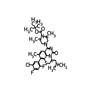 Cc1cc2c(N3C[C@@H](C)N(C(=O)OC(C)(C)C)[C@@H](C)C3)nc(=O)n3c2c(c1-c1cc(Cl)c(F)cc1F)SC[C@@H]3CN(C)C